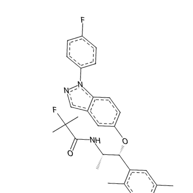 Cc1ccc(C)c([C@@H](Oc2ccc3c(cnn3-c3ccc(F)cc3)c2)[C@H](C)NC(=O)C(C)(C)F)c1